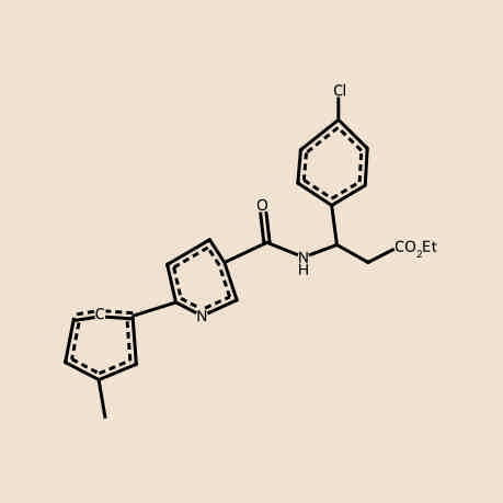 CCOC(=O)CC(NC(=O)c1ccc(-c2cccc(C)c2)nc1)c1ccc(Cl)cc1